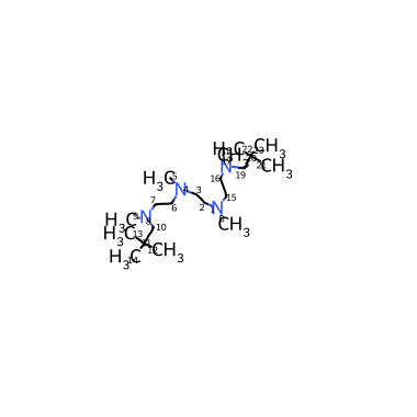 CN(CCN(C)CCN(C)CC(C)(C)C)CCN(C)CC(C)(C)C